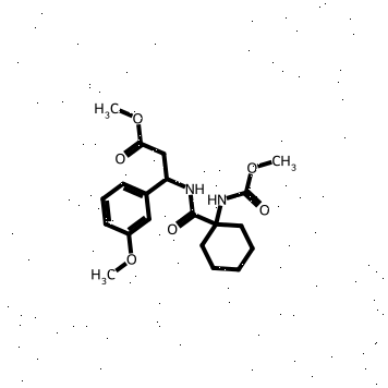 COC(=O)CC(NC(=O)C1(NC(=O)OC)CCCCC1)c1cccc(OC)c1